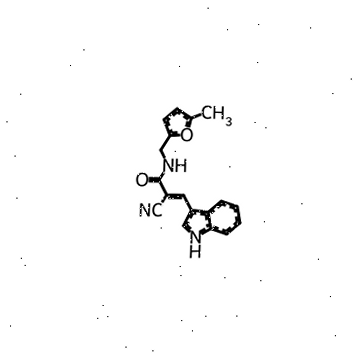 Cc1ccc(CNC(=O)/C(C#N)=C/c2c[nH]c3ccccc23)o1